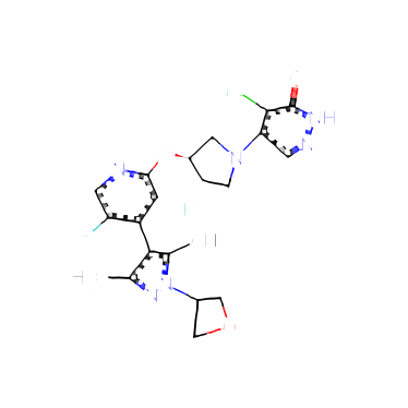 Cc1nn(C2COC2)c(C)c1-c1cc(O[C@H]2CN(c3cn[nH]c(=O)c3Cl)C[C@@H]2F)ncc1F